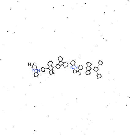 CCc1nc2ccccc2n1-c1ccc(-c2c3ccccc3c(-c3ccc4c5ccc(-c6cccc7c6nc(C)n7-c6ccc(-c7c8ccccc8c(-c8cc(-c9ccccc9)cc(-c9ccccc9)c8)c8ccccc78)cc6)cc5c5ccccc5c4c3)c3ccccc23)cc1